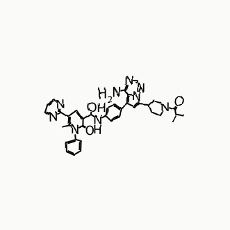 Cc1c(-c2ncccn2)cc(C(O)Nc2ccc(-c3cc(C4CCN(C(=O)C(C)C)CC4)n4ncnc(N)c34)cc2)c(=O)n1-c1ccccc1